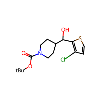 CC(C)(C)OC(=O)N1CCC(C(O)c2sccc2Cl)CC1